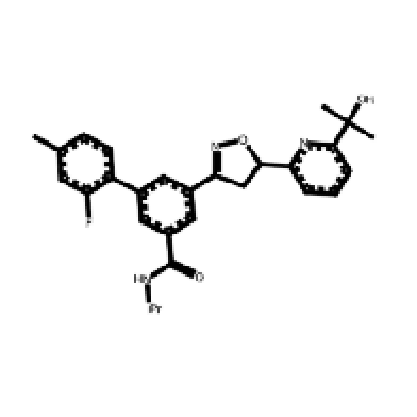 Cc1ccc(-c2cc(C(=O)NC(C)C)cc(C3=NOC(c4cccc(C(C)(C)O)n4)C3)c2)c(F)c1